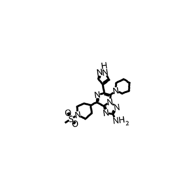 CS(=O)(=O)N1CCC(c2nc(-c3cn[nH]c3)c(N3CCCCC3)n3nc(N)nc23)CC1